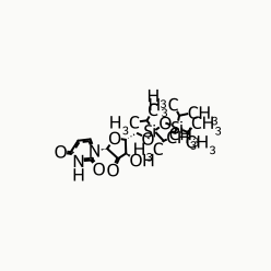 CC(C)[Si](C)(O[Si](OC[C@H]1O[C@@H](n2ccc(=O)[nH]c2=O)C(=O)[C@@H]1O)(C(C)C)C(C)C)C(C)C